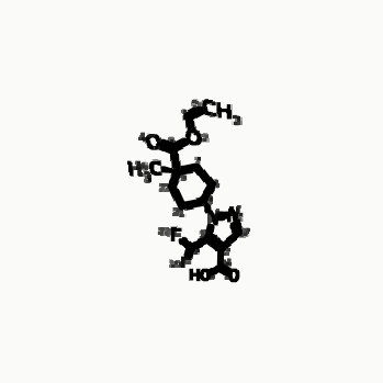 CCOC(=O)[C@]1(C)CC[C@@H](n2ncc(C(=O)O)c2C(F)F)CC1